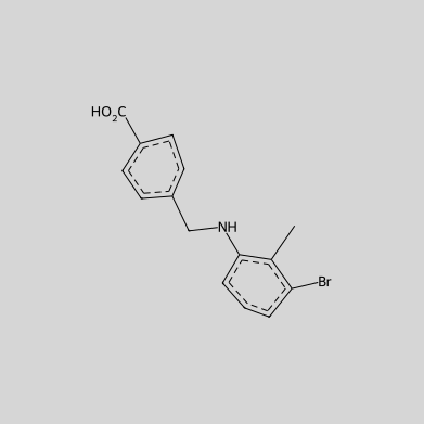 Cc1c(Br)cccc1NCc1ccc(C(=O)O)cc1